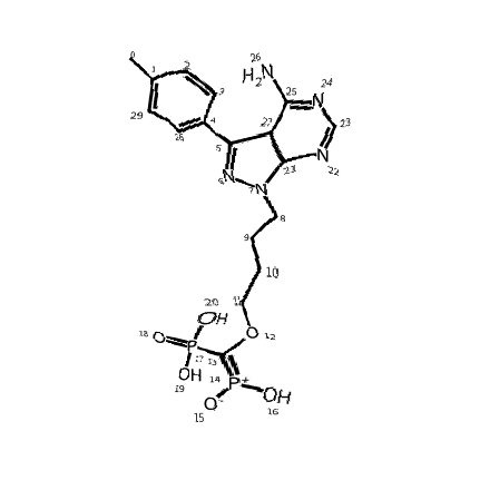 Cc1ccc(C2=NN(CCCCO/C(=[P+](/[O-])O)P(=O)(O)O)C3N=CN=C(N)C23)cc1